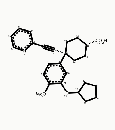 COc1ccc([C@]2(C#Cc3ccccn3)CC[C@@H](C(=O)O)CC2)cc1OC1CCCC1